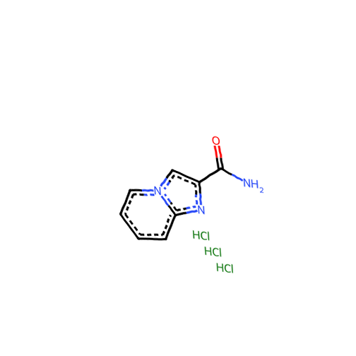 Cl.Cl.Cl.NC(=O)c1cn2ccccc2n1